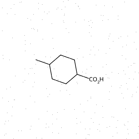 CC1CCC(C(=O)O)CC1